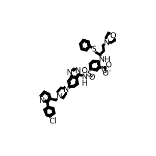 O=[N+]([O-])c1cc(S(=O)(=O)Nc2ncnc3cc(N4CCN(Cc5cccnc5-c5ccc(Cl)cc5)CC4)ccc23)ccc1NC(CCN1CCOCC1)CSc1ccccc1